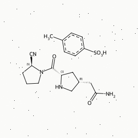 Cc1ccc(S(=O)(=O)O)cc1.N#C[C@@H]1CCCN1C(=O)[C@@H]1C[C@H](CC(N)=O)CN1